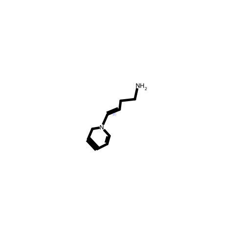 NCC/C=C/N1C=CC#CC1